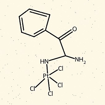 NC([NH][Pt]([Cl])([Cl])([Cl])[Cl])C(=O)c1ccccc1